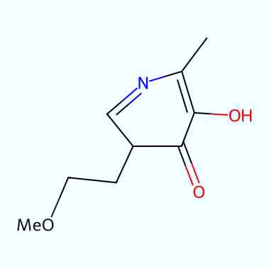 COCCC1C=NC(C)=C(O)C1=O